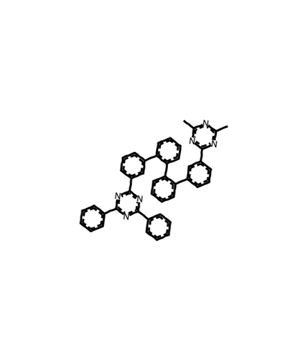 Cc1nc(C)nc(-c2cccc(-c3ccccc3-c3ccccc3-c3cccc(-c4nc(-c5ccccc5)nc(-c5ccccc5)n4)c3)c2)n1